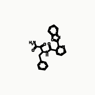 NC(=O)C(=O)C(Cc1ccccc1)NC(=O)c1cccnc1-c1nc2ccccc2o1